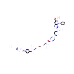 CC(=O)c1c(C)c2cnc(Nc3ccc(N4CCN(CC(=O)NCCOCCOCCNC(=O)c5ccc(C(=O)Nc6ncc(C)s6)c(C)c5)CC4)cn3)nc2n(C2CCCC2)c1=O